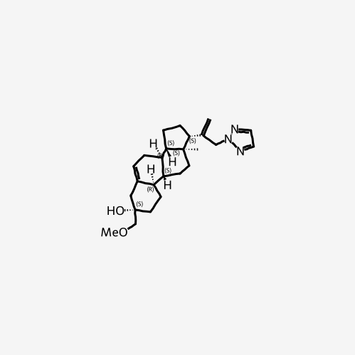 C=C(Cn1nccn1)[C@H]1CC[C@H]2[C@@H]3CC=C4C[C@](O)(COC)CC[C@@H]4[C@H]3CC[C@]12C